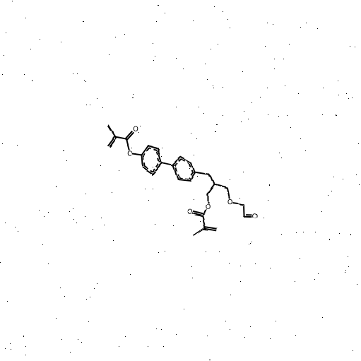 C=C(C)C(=O)OCC(COCC=O)Cc1ccc(-c2ccc(OC(=O)C(=C)C)cc2)cc1